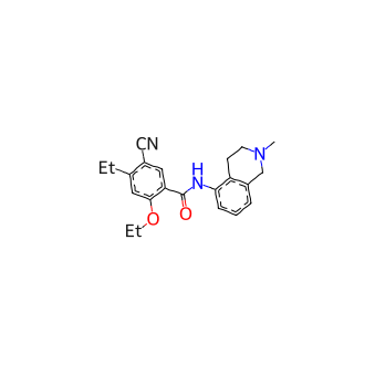 CCOc1cc(CC)c(C#N)cc1C(=O)Nc1cccc2c1CCN(C)C2